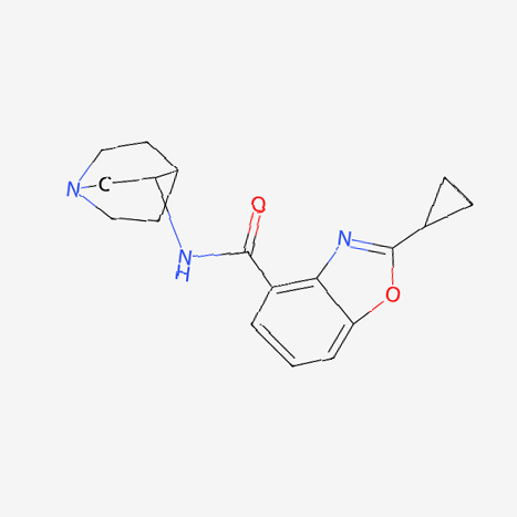 O=C(NC1CN2CCC1CC2)c1cccc2oc(C3CC3)nc12